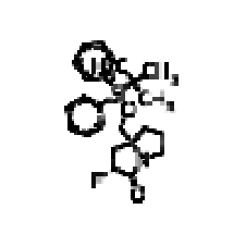 CC(C)(C)[Si](OC[C@@]12CCCN1C(=O)[C@H](F)C2)(c1ccccc1)c1ccccc1